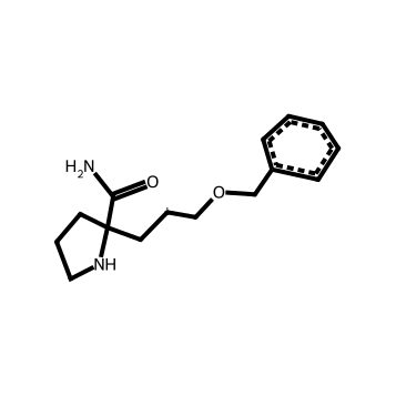 NC(=O)C1(C[CH]COCc2ccccc2)CCCN1